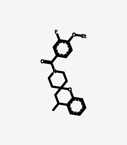 CCOc1ccc(C(=O)N2CCC3(CC2)CC(C)c2ccccc2O3)cc1F